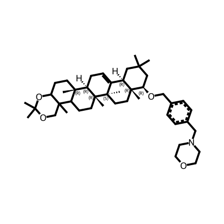 CC1(C)C[C@@H]2C3=CC[C@@H]4[C@@]5(C)CCC6OC(C)(C)OCC6(C)C5CC[C@@]4(C)[C@]3(C)CC[C@@]2(C)[C@H](OCc2ccc(CN3CCOCC3)cc2)C1